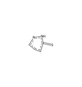 S=c1cccn[nH]1